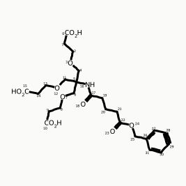 O=C(O)CCOCC(COCCC(=O)O)(COCCC(=O)O)NC(=O)CCCC(=O)OCc1cc#ccc1